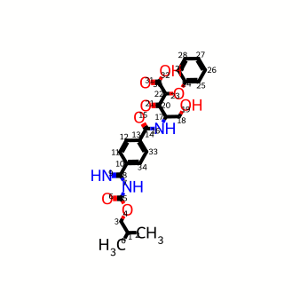 CC(C)COC(=O)NC(=N)c1ccc(C(=O)NC(CO)C(=O)C(Oc2ccccc2)C(=O)O)cc1